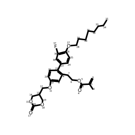 C=C(C)C(=O)OCCc1cc(OCC2COC(=O)OC2)ccc1-c1ccc(OCCCCCCCC)c(F)c1